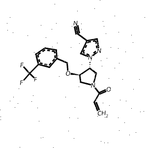 C=CC(=O)N1C[C@@H](n2cc(C#N)cn2)[C@H](OCc2cccc(C(F)(F)F)c2)C1